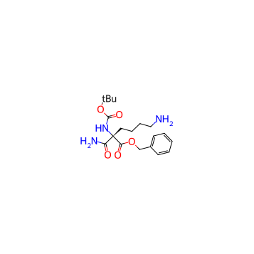 CC(C)(C)OC(=O)N[C@@](CCCCN)(C(N)=O)C(=O)OCc1ccccc1